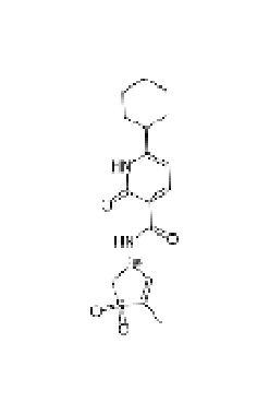 CC1=C[C@@H](NC(=O)c2ccc(C3CCCCC3)[nH]c2=O)CS1(=O)=O